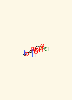 O=C(NC(Oc1ccc(CCCS(=O)(=O)c2ccc(Cl)cc2)cc1)C(=O)O)c1ccc(C=Cc2nc3ccccc3o2)cc1